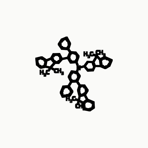 CC1(C)C2=C(C=CC(N(c3ccc(-c4ccccc4)c(-c4ccc5c(c4)C(C)(C)c4ccccc4-5)c3)c3ccc(-c4ccccc4)c(-c4ccc5c(c4)C(C)(C)c4ccccc4-5)c3)C2)c2ccccc21